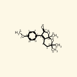 COc1ccc(C2=C3CCC(C)(C)O[C@@]3(C)OC2=O)cc1